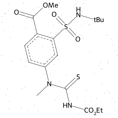 CCOC(=O)NC(=S)N(C)c1ccc(C(=O)OC)c(S(=O)(=O)NC(C)(C)C)c1